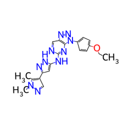 CCOc1ccc(-n2nnc3cnc(Nc4cc(-c5cnn(C)c5C)n[nH]4)nc32)cc1